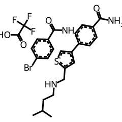 CC(C)CCNCc1cc(-c2ccc(C(N)=O)cc2)cs1.NC(=O)c1ccc(Br)cc1.O=C(O)C(F)(F)F